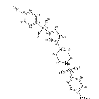 COc1ccc(S(=O)(=O)N2CCN(c3nc(C(F)(F)c4ccc(F)cc4)no3)CC2)cc1